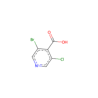 O=C(O)c1c(Cl)cncc1Br